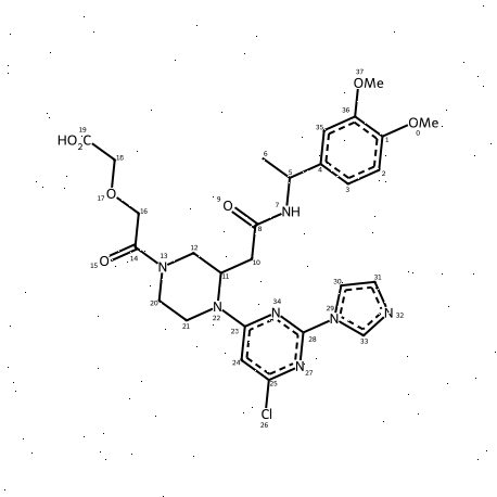 COc1ccc(C(C)NC(=O)CC2CN(C(=O)COCC(=O)O)CCN2c2cc(Cl)nc(-n3ccnc3)n2)cc1OC